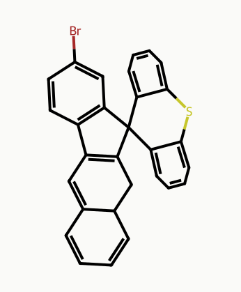 Brc1ccc2c(c1)C1(C3=C2C=C2C=CC=CC2C3)c2ccccc2Sc2ccccc21